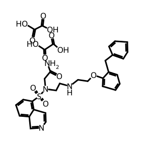 NC(=O)CN(CCNCCOc1ccccc1Cc1ccccc1)S(=O)(=O)c1cccc2cnccc12.O=C(O)C(=O)O.O=C(O)C(=O)O